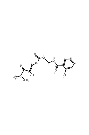 CN(C)C(=O)C(Cl)=NOC(=O)OCOC(=O)c1ccccc1Cl